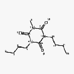 CCCCn1c(=O)n(C)c(=O)n(CCCC)c1=O